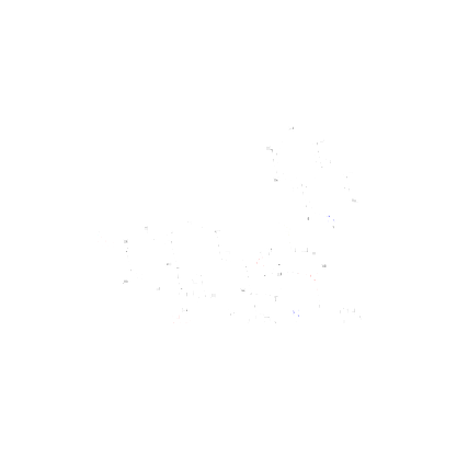 CC1=N[C@]2(C(=O)CSc3nccc4ccccc34)[C@@H](CC3C4CCC5=CC(=O)C=CC5(C)C4[C@@H](O)CC32C)O1